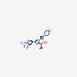 Nc1ncc(-c2cn(C34CC(N5CCC(F)(F)CC5)(C3)C4)c(C(O)C3CC3)n2)cc1C(F)(F)F